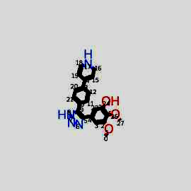 COc1cc(-c2nn[nH]c2-c2ccc(C3=CCNC=C3)cc2)cc(O)c1OC